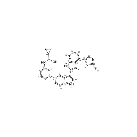 OC(Nc1cncc(-c2cnc3[nH]nc(-c4nc5c(-c6ccc(F)s6)ccnc5[nH]4)c3c2)c1)C1CC1